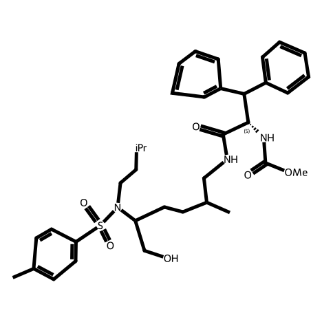 COC(=O)N[C@H](C(=O)NCC(C)CCC(CO)N(CCC(C)C)S(=O)(=O)c1ccc(C)cc1)C(c1ccccc1)c1ccccc1